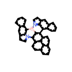 c1ccc2c3c4c(ccn4B4c5c-3c3ccc6cccc7ccc(c5-n5ccc8cc9ccccc9c4c85)c3c67)cc2c1